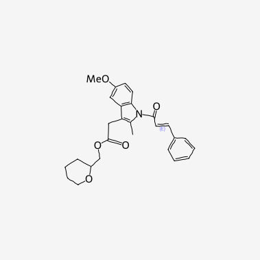 COc1ccc2c(c1)c(CC(=O)OCC1CCCCO1)c(C)n2C(=O)/C=C/c1ccccc1